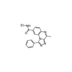 CCNC(=O)c1ccc2nc(C)c3nnc(-c4ccccc4)n3c2c1